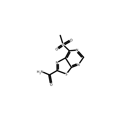 CS(=O)(=O)c1ncnc2sc(C(N)=O)nc12